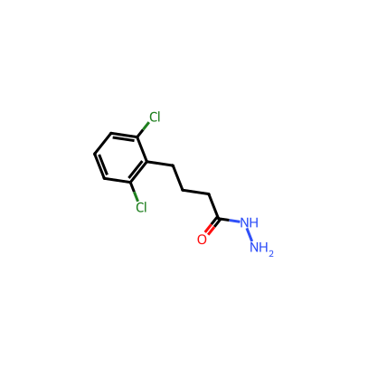 NNC(=O)CCCc1c(Cl)cccc1Cl